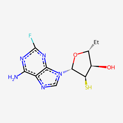 CC[C@H]1O[C@@H](n2cnc3c(N)nc(F)nc32)[C@H](S)[C@@H]1O